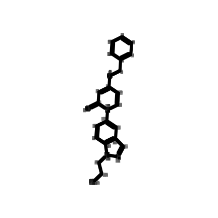 O=c1cc(OCc2ccccc2)ccn1-c1ccc2c(cnn2CCCl)c1